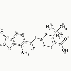 Cc1c(C(F)CN2CCN(C(=O)O)C(C(C)(C)C)C2)ccc2c1COC2=O